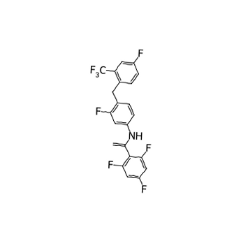 C=C(Nc1ccc(Cc2ccc(F)cc2C(F)(F)F)c(F)c1)c1c(F)cc(F)cc1F